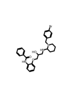 O=C(Nc1ccccc1OCC(O)CNC1CCCCN1Cc1ccc(Br)cc1)c1ccccc1